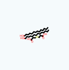 CCCCCCCCCCCCCCO.CCCCCCCCCCCCCCO.O=C(O)CCSCCC(=O)O